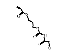 C=CC(=O)OCCCOC(=O)NC(=O)CCl